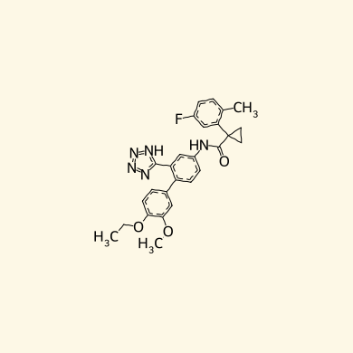 CCOc1ccc(-c2ccc(NC(=O)C3(c4cc(F)ccc4C)CC3)cc2-c2nnn[nH]2)cc1OC